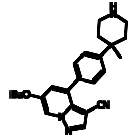 CC(C)COc1cc(-c2ccc(C3(C)CCNCC3)cc2)c2c(C#N)cnn2c1